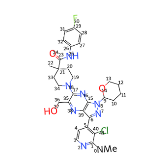 CNc1nccc(-c2nn(C3CCCCO3)c3nc(N4CCC(C)(C(=O)Nc5ccc(F)cc5)CC4)c(CO)nc23)c1Cl